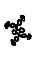 c1ccc2c(N(c3ccc(B4OCCO4)cc3)c3ccc(B4OCCO4)cc3)c3ccccc3c(N(c3ccc(B4OCCO4)cc3)c3ccc(B4OCCO4)cc3)c2c1